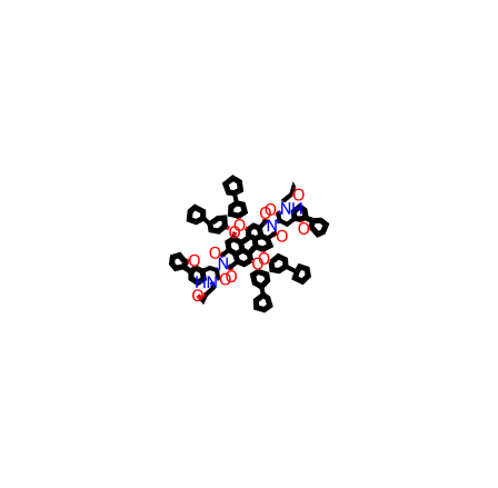 O=C(NCC1CO1)C(Cc1cccc2c1oc1ccccc12)N1C(=O)c2cc(Oc3ccc(-c4ccccc4)cc3)c3c4c(Oc5ccc(-c6ccccc6)cc5)cc5c6c(cc(Oc7ccc(-c8ccccc8)cc7)c(c7c(Oc8ccc(-c9ccccc9)cc8)cc(c2c37)C1=O)c64)C(=O)N(C(Cc1cccc2c1oc1ccccc12)C(=O)NCC1CO1)C5=O